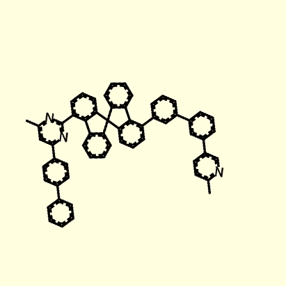 Cc1ccc(-c2cccc(-c3cccc(-c4cccc5c4-c4ccccc4C54c5ccccc5-c5c(-c6nc(C)cc(-c7ccc(-c8ccccc8)cc7)n6)cccc54)c3)c2)cn1